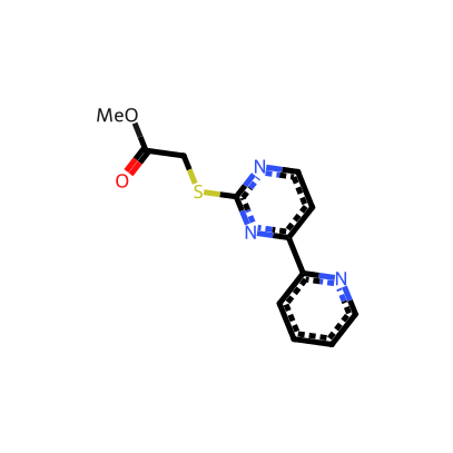 COC(=O)CSc1nccc(-c2ccccn2)n1